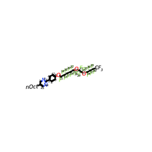 CCCCCCCCc1cnc(-c2ccc(OC(F)C(F)(F)C(F)(F)C(F)(F)C(F)(F)OC(F)(F)C(F)(F)OC(F)(F)C(F)(F)C(F)(F)C(F)(F)F)cc2)nc1